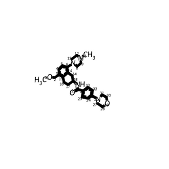 COCc1ccc(N2CCN(C)CC2)c2c1CCC(NC(=O)c1ccc(N3CCOCC3)cc1)C2